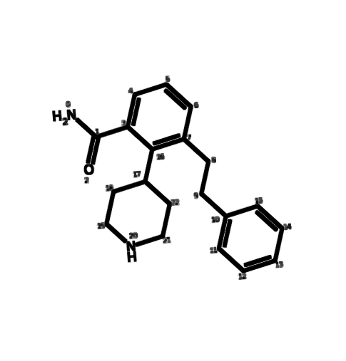 NC(=O)c1cccc(CCc2ccccc2)c1C1CCNCC1